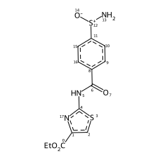 CCOC(=O)c1csc(NC(=O)c2ccc([S+](N)[O-])cc2)n1